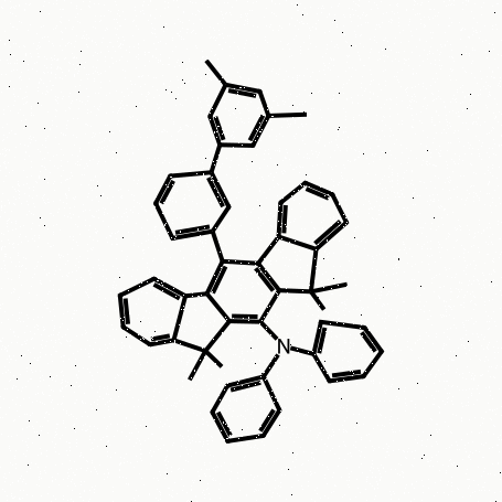 Cc1cc(C)cc(-c2cccc(-c3c4c(c(N(c5ccccc5)c5ccccc5)c5c3-c3ccccc3C5(C)C)C(C)(C)c3ccccc3-4)c2)c1